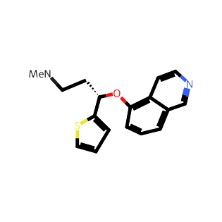 CNCC[C@H](Oc1cccc2cnccc12)c1cccs1